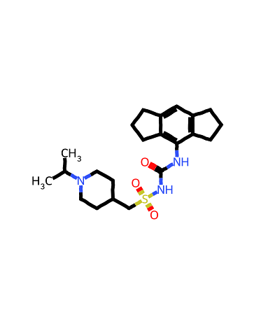 CC(C)N1CCC(CS(=O)(=O)NC(=O)Nc2c3c(cc4c2CCC4)CCC3)CC1